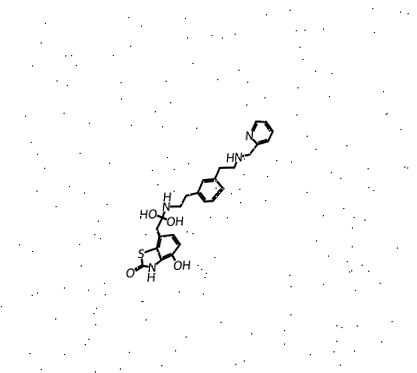 O=c1[nH]c2c(O)ccc(CC(O)(O)NCCc3cccc(CCNCc4ccccn4)c3)c2s1